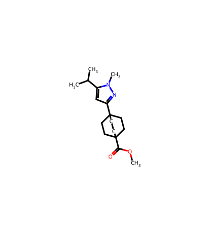 COC(=O)C12CCC(c3cc(C(C)C)n(C)n3)(CC1)CC2